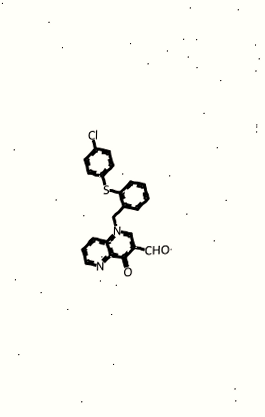 O=[C]c1cn(Cc2ccccc2Sc2ccc(Cl)cc2)c2cccnc2c1=O